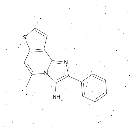 Cc1cc2sccc2c2nc(-c3ccccc3)c(N)n12